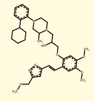 COCc1cc(C=Cc2cc(OC)c(OC)cc2OCC(O)CN2CCN(c3ccccc3C3CCCCC3)CC2C)on1